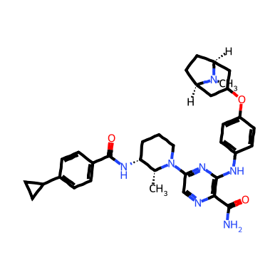 C[C@@H]1[C@H](NC(=O)c2ccc(C3CC3)cc2)CCCN1c1cnc(C(N)=O)c(Nc2ccc(OC3C[C@H]4CC[C@@H](C3)N4C)cc2)n1